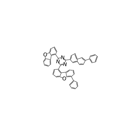 c1ccc(-c2ccc3cc(-c4nc(-c5cccc6oc7ccccc7c56)nc(-c5cccc6oc7c(-c8ccccc8)cccc7c56)n4)ccc3c2)cc1